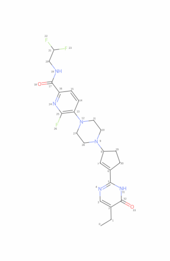 CCc1cnc(C2=CC(N3CCN(c4ccc(C(=O)NCC(F)F)nc4F)CC3)CC2)[nH]c1=O